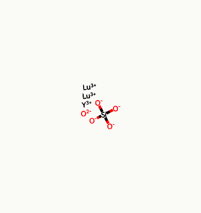 [Lu+3].[Lu+3].[O-2].[O-][Si]([O-])([O-])[O-].[Y+3]